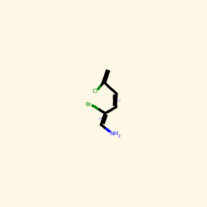 C=C(Cl)/C=C\C(Br)=C/N